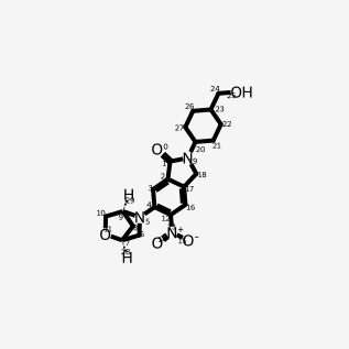 O=C1c2cc(N3C[C@@H]4C[C@H]3CO4)c([N+](=O)[O-])cc2CN1C1CCC(CO)CC1